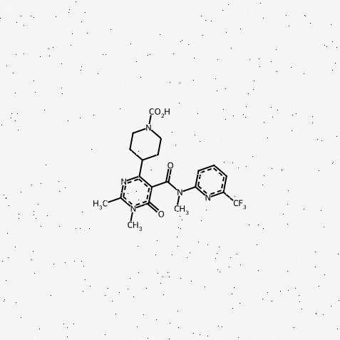 Cc1nc(C2CCN(C(=O)O)CC2)c(C(=O)N(C)c2cccc(C(F)(F)F)n2)c(=O)n1C